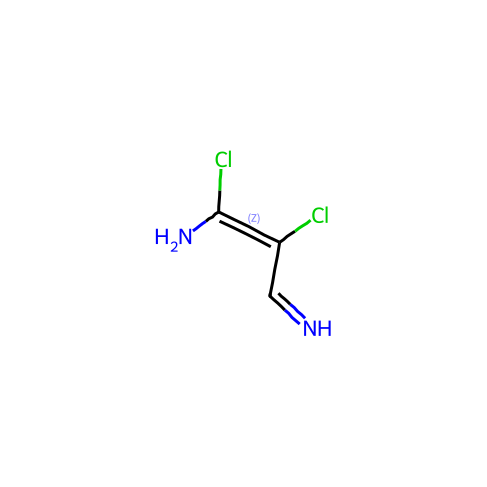 N=C/C(Cl)=C(\N)Cl